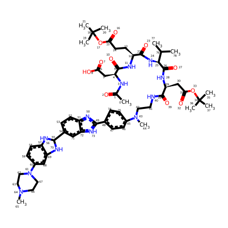 CC(=O)N[C@@H](CC(=O)O)C(=O)N[C@@H](CCC(=O)OC(C)(C)C)C(=O)N[C@H](C(=O)N[C@@H](CC(=O)OC(C)(C)C)C(=O)NCCN(C)c1ccc(-c2nc3ccc(C4Nc5ccc(N6CCN(C)CC6)cc5N4)cc3[nH]2)cc1)C(C)C